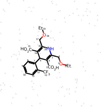 CCOCC1=C(C(=O)O)C(c2ccccc2C(F)(F)F)C(C(=O)O)=C(COCC)N1